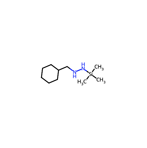 C[Si](C)(C)NNCC1CCCCC1